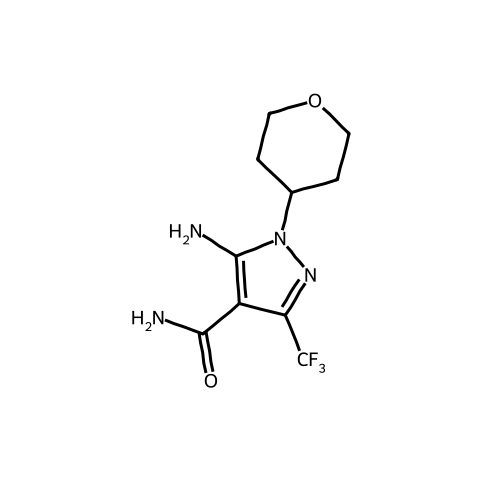 NC(=O)c1c(C(F)(F)F)nn(C2CCOCC2)c1N